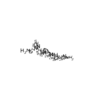 NC(=O)CCn1c(C2CCCN(C(=O)CC(N)Cc3ccc(-c4ccc(N)nc4)cc3)C2)nc2ccccc21